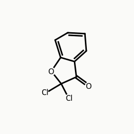 O=C1c2ccccc2OC1(Cl)Cl